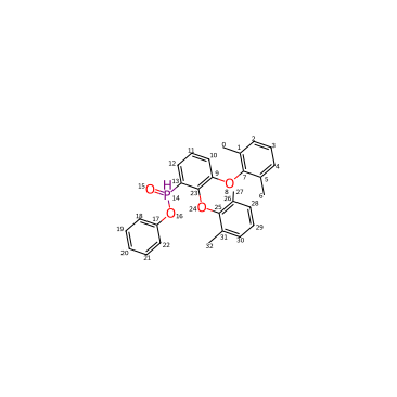 Cc1cccc(C)c1Oc1cccc([PH](=O)Oc2ccccc2)c1Oc1c(C)cccc1C